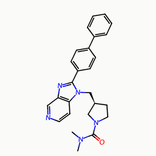 CN(C)C(=O)N1CC[C@H](Cn2c(-c3ccc(-c4ccccc4)cc3)nc3cnccc32)C1